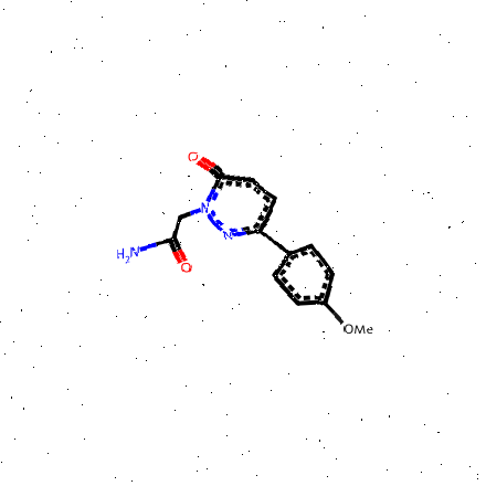 COc1ccc(-c2ccc(=O)n(CC(N)=O)n2)cc1